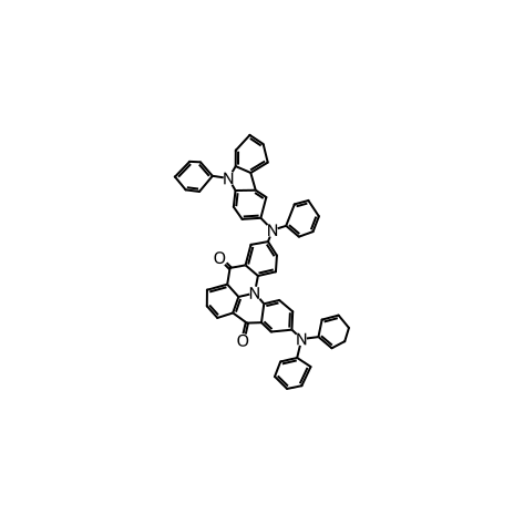 O=c1c2cc(N(C3=CCCC=C3)c3ccccc3)ccc2n2c3ccc(N(c4ccccc4)c4ccc5c(c4)c4ccccc4n5-c4ccccc4)cc3c(=O)c3cccc1c32